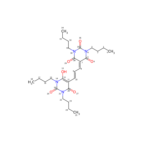 CCCCN1C(=O)C(=C/C=C/c2c(O)n(CCCC)c(=O)n(CCCC)c2=O)C(=O)N(CCCC)C1=O